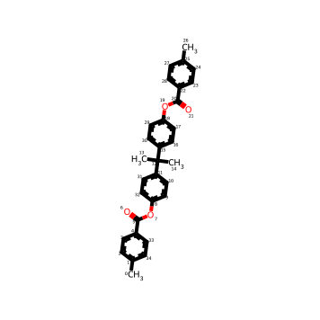 Cc1ccc(C(=O)Oc2ccc(C(C)(C)c3ccc(OC(=O)c4ccc(C)cc4)cc3)cc2)cc1